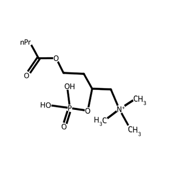 CCCC(=O)OCCC(C[N+](C)(C)C)OP(=O)(O)O